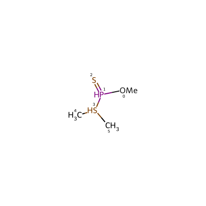 CO[PH](=S)[SH](C)C